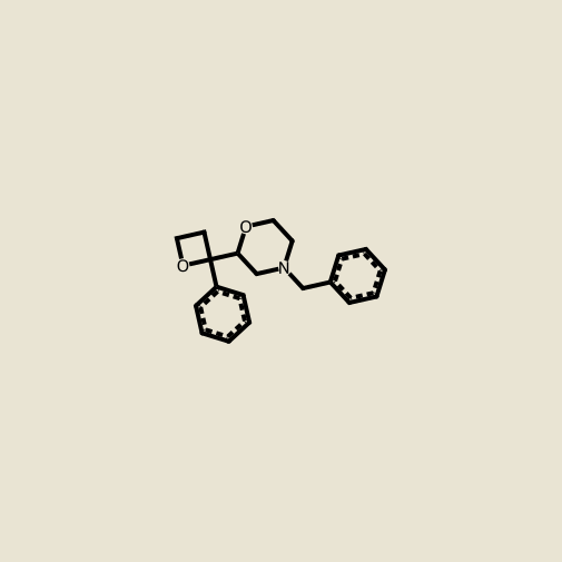 c1ccc(CN2CCOC(C3(c4ccccc4)CCO3)C2)cc1